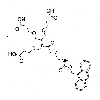 O=C(O)CCOCC(COCCC(=O)O)N(COCCC(=O)O)C(=O)CCCNC(=O)OCc1c2ccccc2cc2ccccc12